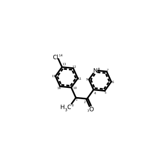 CC(C(=O)c1cccnc1)c1ccc(Cl)cc1